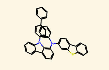 c1ccc(-c2ccc(-n3c4ccccc4c4cccc(N(c5ccccc5)c5ccc6c(c5)sc5ccccc56)c43)cc2)cc1